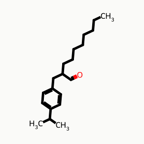 CCCCCCCCC(C=O)Cc1ccc(C(C)C)cc1